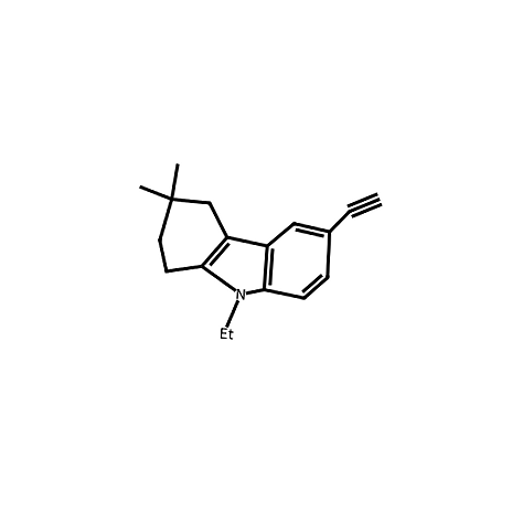 C#Cc1ccc2c(c1)c1c(n2CC)CCC(C)(C)C1